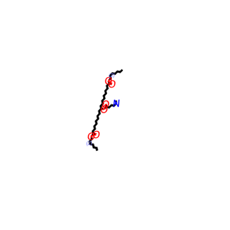 CCCC/C=C\COC(=O)CCCCCCCCCC(CCCCCCCCCC(=O)OC/C=C\CCCC)OC(=O)CCCN(C)C